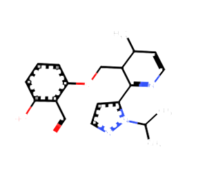 CC1C=CN=C(c2ccnn2C(C)C)C1COc1cccc(O)c1C=O